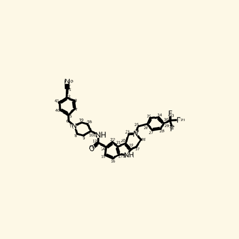 N#Cc1ccc(CN2CCC(NC(=O)c3ccc4[nH]c5c(c4c3)CN(Cc3ccc(C(F)(F)F)cc3)CC5)CC2)cc1